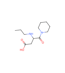 CCCNC(CC(=O)O)C(=O)N1CCCCC1